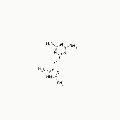 Cc1nc(CCc2nc(N)nc(N)n2)c(C)[nH]1